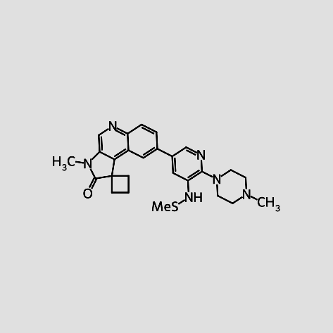 CSNc1cc(-c2ccc3ncc4c(c3c2)C2(CCC2)C(=O)N4C)cnc1N1CCN(C)CC1